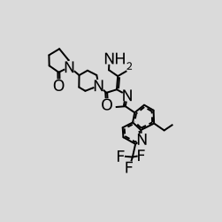 CCc1ccc(/C(C)=N/C(C(=O)N2CCC(N3CCCCC3=O)CC2)=C(\C)CN)c2ccc(C(F)(F)F)nc12